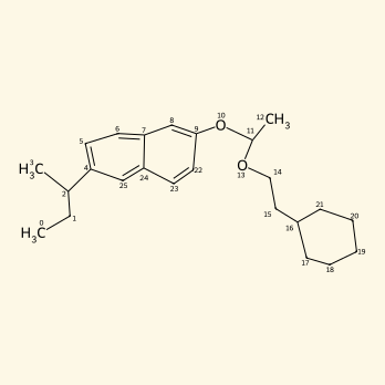 CCC(C)c1ccc2cc(OC(C)OCCC3CCCCC3)ccc2c1